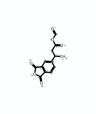 CC(CC(=O)OC=O)c1ccc2c(c1)C(=O)OC2=O